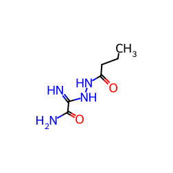 CCCC(=O)NNC(=N)C(N)=O